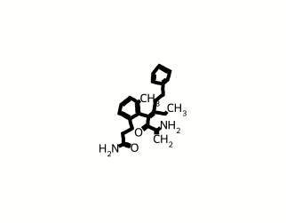 C=C(N)C(=O)/C(=C(\CC)CCc1ccccc1)c1c(C)cccc1CCC(N)=O